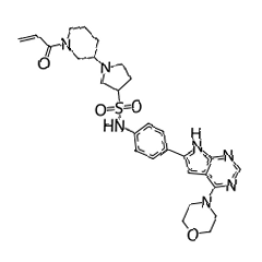 C=CC(=O)N1CCCC(N2CCC(S(=O)(=O)Nc3ccc(-c4cc5c(N6CCOCC6)ncnc5[nH]4)cc3)C2)C1